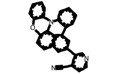 N#Cc1ccncc1-c1cccc(-c2ccccc2N2c3ccccc3Oc3ccccc32)c1